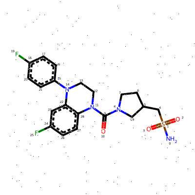 NS(=O)(=O)CC1CCN(C(=O)N2CCN(c3ccc(F)cc3)c3cc(F)ccc32)C1